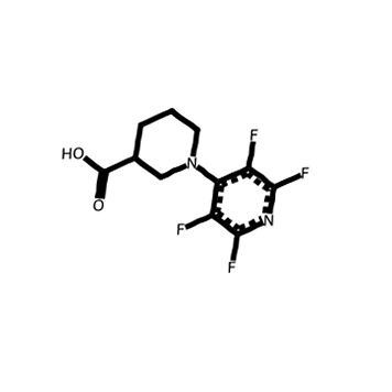 O=C(O)C1CCCN(c2c(F)c(F)nc(F)c2F)C1